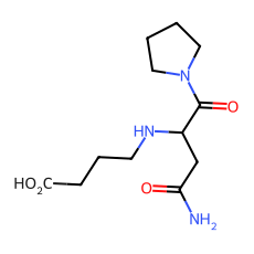 NC(=O)CC(NCCCC(=O)O)C(=O)N1CCCC1